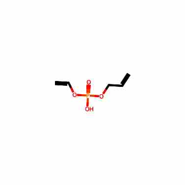 C=CCOP(=O)(O)OC=C